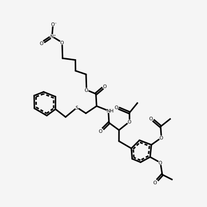 CC(=O)Oc1ccc(CC(OC(C)=O)C(=O)NC(CSCc2ccccc2)C(=O)OCCCCO[N+](=O)[O-])cc1OC(C)=O